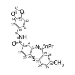 CCCC1=Nc2cc(C(=O)NCc3ccc4c(c3)OCO4)ccc2Sc2ccc(C)cc21